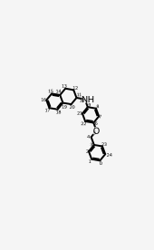 c1ccc(COc2ccc(NC3CCc4ccccc4C3)cc2)cc1